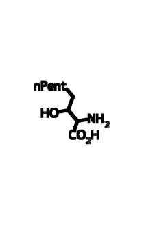 CCCCCCC(O)C(N)C(=O)O